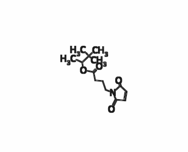 CC(OC(=O)CCCN1C(=O)C=CC1=O)C(C)(C)C